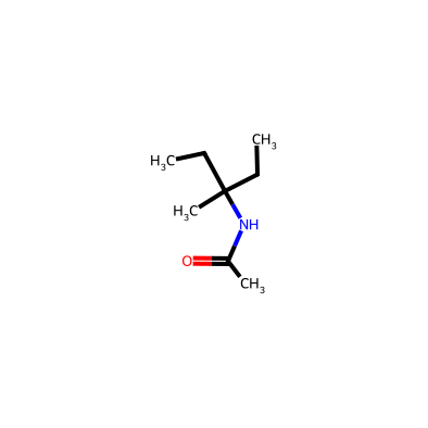 CCC(C)(CC)NC(C)=O